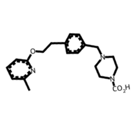 Cc1cccc(OCCc2ccc(CN3CCN(C(=O)O)CC3)cc2)n1